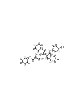 Fc1ccc(Cn2c(N(Cc3ccccc3)C3CCN(CCc4ccccc4)CC3)nc3ccccc32)cc1